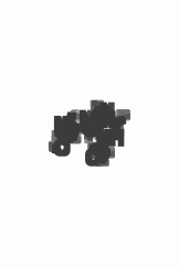 COc1cnc(C)c(-c2cc(N[C@@H]3CCOC3)c3c(cnn3C(C)C)n2)c1